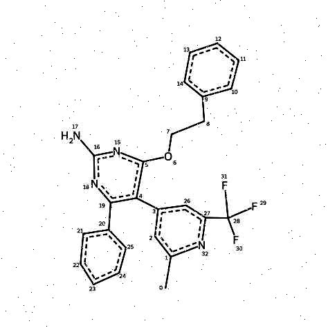 Cc1cc(-c2c(OCCc3ccccc3)nc(N)nc2-c2ccccc2)cc(C(F)(F)F)n1